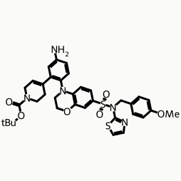 COc1ccc(CN(c2nccs2)S(=O)(=O)c2ccc3c(c2)OCCN3c2ccc(N)cc2C2=CCN(C(=O)OC(C)(C)C)CC2)cc1